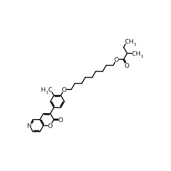 CCC(C)C(=O)OCCCCCCCCCOc1ccc(-c2cc3cnccc3oc2=O)cc1C